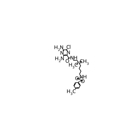 Cc1ccc(S(=O)(=O)NCCCC[N+](C)(C)CCNC(=O)c2nc(Cl)c(N)nc2N)cc1